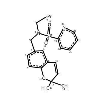 CC(C)CN(Cc1ccc2c(c1)C=CC(C)(C)O2)S(=O)(=O)c1ccccn1